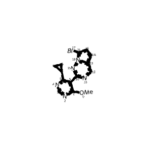 COc1ncnc(C2CC2)c1-c1ncc2ccc(Br)n2n1